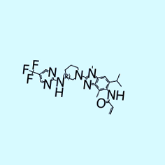 C=CC(=O)Nc1c(C(C)C)cc2c(nc(N3CCC[C@@H](Nc4ncc(C(F)(F)F)cn4)C3)n2C)c1C